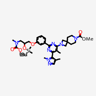 COC(=O)N1CCC2(CC1)CN(c1nc(-c3cccc(OCC(CN(C)C(=O)OC(C)(C)C)O[Si](C)(C)C(C)(C)C)c3)nc(-c3c(C)cnn3C)c1C)C2